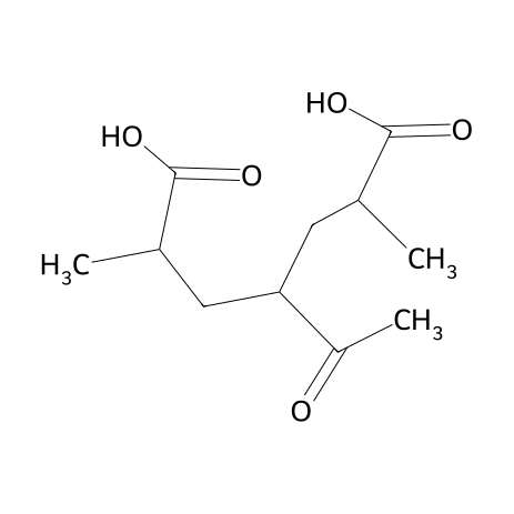 CC(=O)C(CC(C)C(=O)O)CC(C)C(=O)O